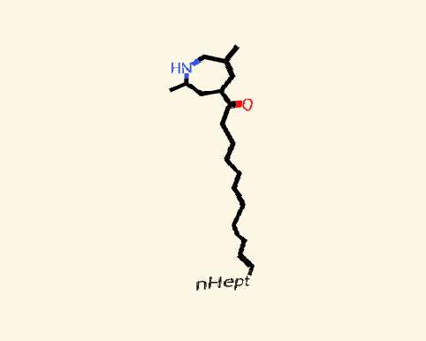 CCCCCCCC=CCCCCCCCCC(=O)C1CC(C)CNC(C)C1